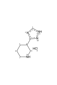 Cl.c1nc(C2CCCNC2)n[nH]1